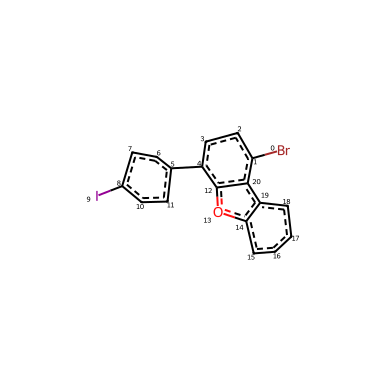 Brc1ccc(-c2ccc(I)cc2)c2oc3ccccc3c12